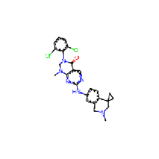 CN1Cc2cc(Nc3ncc4c(n3)N(C)CN(c3c(Cl)cccc3Cl)C4=O)ccc2C2(CC2)C1